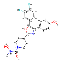 COc1ccc(-c2nc(C3CCN(C(=O)N(C)O)CC3)oc2-c2ccc(F)c(F)c2)cc1